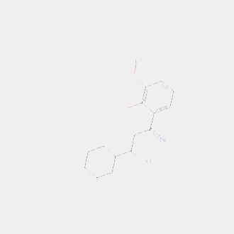 CCOc1cccc(C(=N)CC(O)C2CCCCC2)c1O